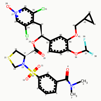 CN(C)C(=O)c1cccc(S(=O)(=O)N2CSC[C@@H]2C(=O)O[C@@H](Cc2c(Cl)c[n+]([O-])cc2Cl)c2ccc(OC(F)F)c(OCC3CC3)c2)c1